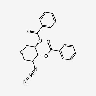 [N-]=[N+]=NC1COC[C@@H](OC(=O)c2ccccc2)[C@@H]1OC(=O)c1ccccc1